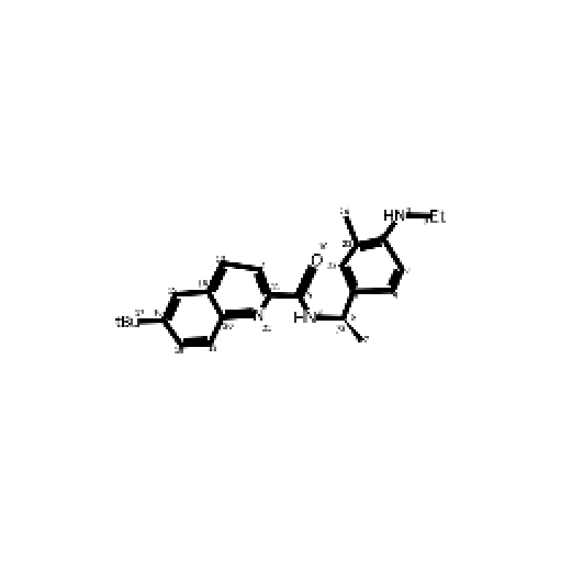 CCNc1ccc([C@@H](C)NC(=O)c2ccc3cc(C(C)(C)C)ccc3n2)cc1C